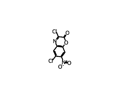 O=c1oc2cc([N+](=O)[O-])c(Cl)cc2nc1Cl